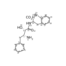 N[C@H](Cc1ccccc1)[C@H](O)C(=O)NC(Cc1ccccc1Br)C(=O)O